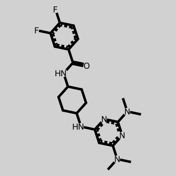 CN(C)c1cc(NC2CCC(NC(=O)c3ccc(F)c(F)c3)CC2)nc(N(C)C)n1